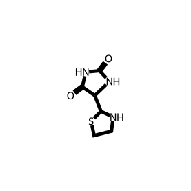 O=C1NC(=O)C(C2NCCS2)N1